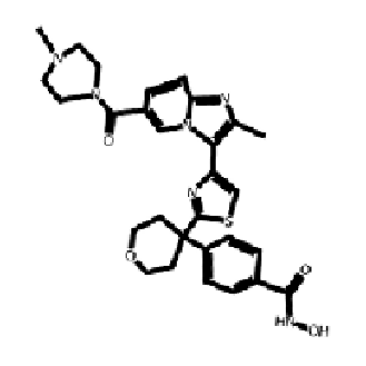 Cc1nc2ccc(C(=O)N3CCN(C)CC3)cn2c1-c1csc(C2(c3ccc(C(=O)NO)cc3)CCOCC2)n1